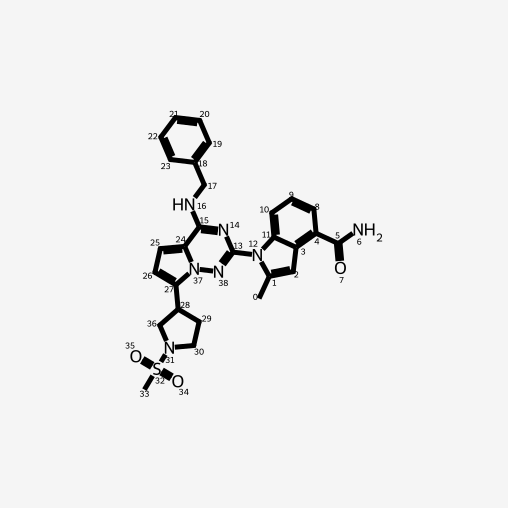 Cc1cc2c(C(N)=O)cccc2n1-c1nc(NCc2ccccc2)c2ccc(C3CCN(S(C)(=O)=O)C3)n2n1